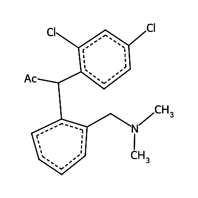 CC(=O)C(c1ccc(Cl)cc1Cl)c1ccccc1CN(C)C